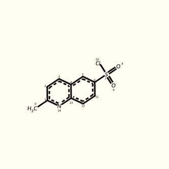 Cc1ccc2cc(S(=O)(=O)Cl)ccc2n1